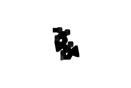 COS(=O)(=O)CC1(S(=O)(=O)C2(CF)CC2)CC1